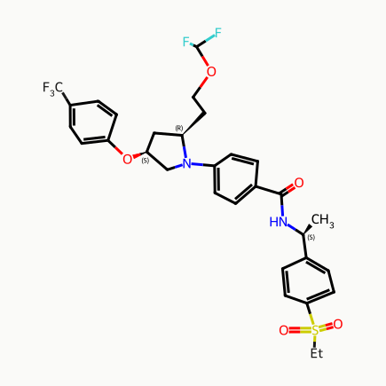 CCS(=O)(=O)c1ccc([C@H](C)NC(=O)c2ccc(N3C[C@@H](Oc4ccc(C(F)(F)F)cc4)C[C@H]3CCOC(F)F)cc2)cc1